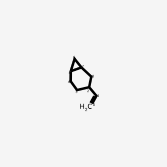 C=[C]C1CCC2CC2C1